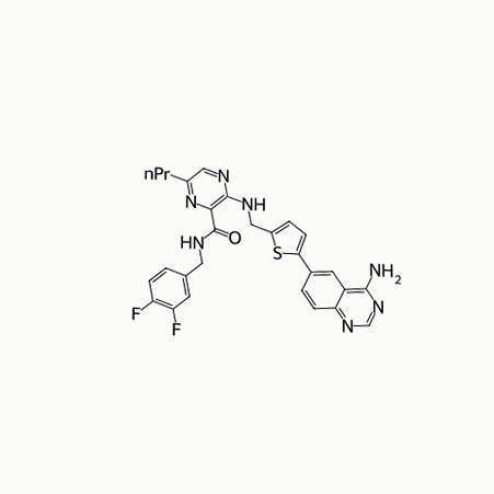 CCCc1cnc(NCc2ccc(-c3ccc4ncnc(N)c4c3)s2)c(C(=O)NCc2ccc(F)c(F)c2)n1